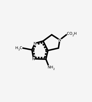 Cc1nc(N)c2c(n1)CN(C(=O)O)C2